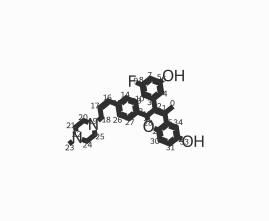 CC1=C(c2cc(O)cc(F)c2)C(c2ccc(/C=C\CN3CCN(C)CC3)cc2)Oc2ccc(O)cc21